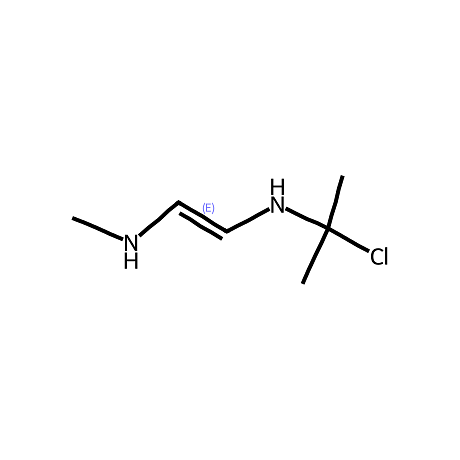 CN/C=C/NC(C)(C)Cl